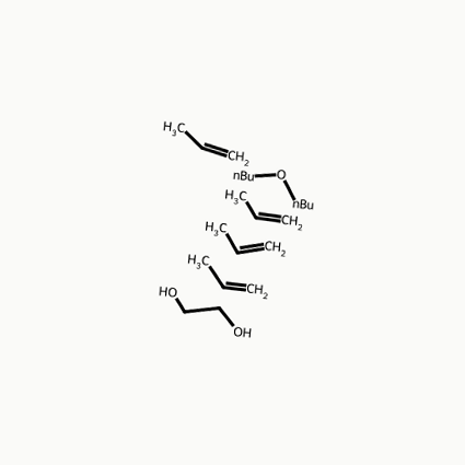 C=CC.C=CC.C=CC.C=CC.CCCCOCCCC.OCCO